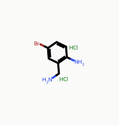 Cl.Cl.NCc1cc(Br)ccc1N